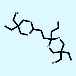 CCC1(CO)COC(CCC2(CCF)OCC(CC)(CO)CO2)OC1